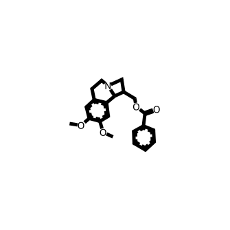 COc1cc2c(cc1OC)C1C(COC(=O)c3ccccc3)CN1CC2